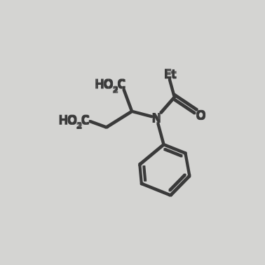 CCC(=O)N(c1ccccc1)C(CC(=O)O)C(=O)O